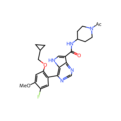 COc1cc(OCC2CC2)c(-c2ncnc3c(C(=O)NC4CCN(C(C)=O)CC4)c[nH]c23)cc1F